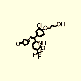 O=C1CC[C@H](C=C(c2ccc(OCCCO)c(Cl)c2)c2ccc(C(F)(F)F)c(=O)[nH]2)C1